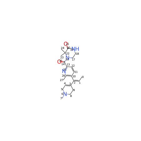 C/C=C(/C1=CCN(C)CC1)c1ccc(C(=O)N2CCNC(=O)C2(C)C)nc1C